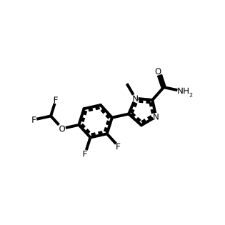 Cn1c(-c2ccc(OC(F)F)c(F)c2F)cnc1C(N)=O